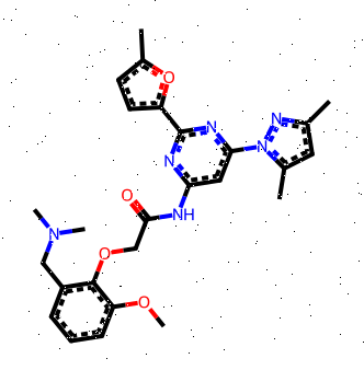 COc1cccc(CN(C)C)c1OCC(=O)Nc1cc(-n2nc(C)cc2C)nc(-c2ccc(C)o2)n1